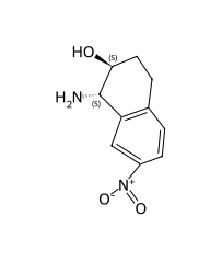 N[C@H]1c2cc([N+](=O)[O-])ccc2CC[C@@H]1O